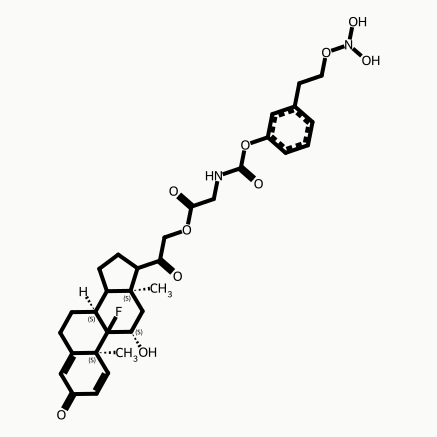 C[C@]12C[C@H](O)C3(F)[C@@H](CCC4=CC(=O)C=C[C@@]43C)C1CCC2C(=O)COC(=O)CNC(=O)Oc1cccc(CCON(O)O)c1